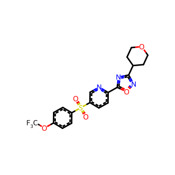 O=S(=O)(c1ccc(OC(F)(F)F)cc1)c1ccc(-c2nc(C3CCOCC3)no2)nc1